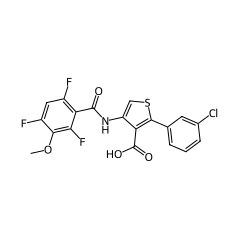 COc1c(F)cc(F)c(C(=O)Nc2csc(-c3cccc(Cl)c3)c2C(=O)O)c1F